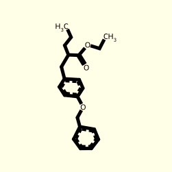 CCCC(Cc1ccc(OCc2ccccc2)cc1)C(=O)OCC